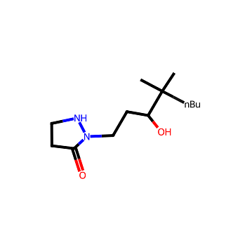 CCCCC(C)(C)C(O)CCN1NCCC1=O